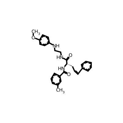 COc1ccc(NCCNC(=O)[C@H](C/C=C\c2ccccc2)NC(=O)c2cccc(C)c2)cc1